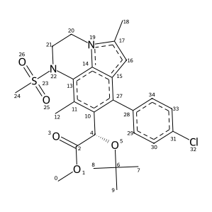 COC(=O)[C@@H](OC(C)(C)C)c1c(C)c2c3c(cc(C)n3CCN2S(C)(=O)=O)c1-c1ccc(Cl)cc1